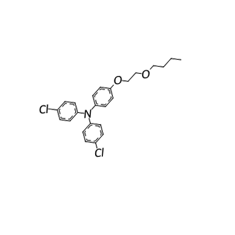 CCCCOCCOc1ccc(N(c2ccc(Cl)cc2)c2ccc(Cl)cc2)cc1